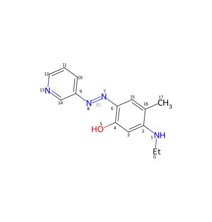 CCNc1cc(O)c(/N=N/c2cccnc2)cc1C